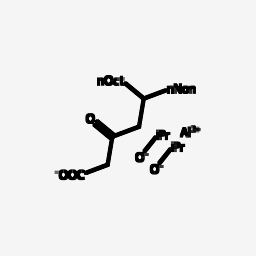 CC(C)[O-].CC(C)[O-].CCCCCCCCCC(CCCCCCCC)CC(=O)CC(=O)[O-].[Al+3]